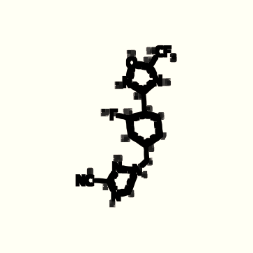 N#Cc1ncn(Cc2ccc(-c3noc(C(F)(F)F)n3)c(F)c2)n1